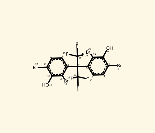 Oc1c(Br)ccc(C(c2ccc(Br)c(O)c2Br)(C(F)(F)F)C(F)(F)F)c1Br